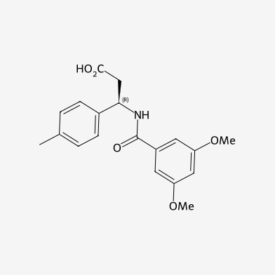 COc1cc(OC)cc(C(=O)N[C@H](CC(=O)O)c2ccc(C)cc2)c1